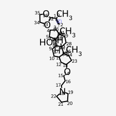 C/C(=C/[C@H]1CC[C@@]2(O)[C@@H]3CCC4CC(OCCCN5CCCC5)CC[C@]4(C)[C@H]3CC[C@]12C)C1OCCO1